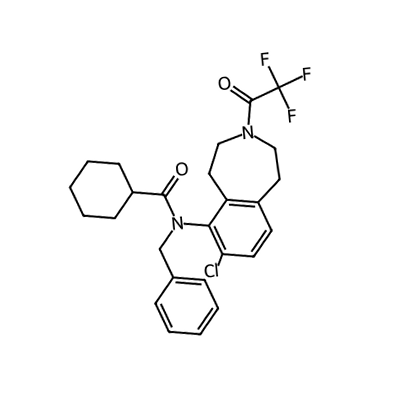 O=C(C1CCCCC1)N(Cc1ccccc1)c1c(Cl)ccc2c1CCN(C(=O)C(F)(F)F)CC2